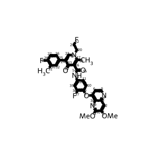 COc1cc2nccc(Oc3ccc(NC(=O)c4c(C)n(CCF)cc(-c5ccc(F)c(C)c5)c4=O)cc3F)c2nc1OC